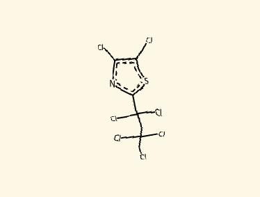 Clc1nc(C(Cl)(Cl)C(Cl)(Cl)Cl)sc1Cl